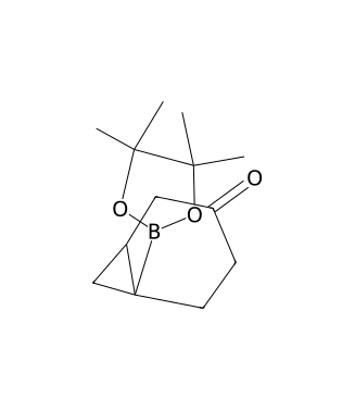 CC1(C)OB(C23CCC(=O)CC2C3)OC1(C)C